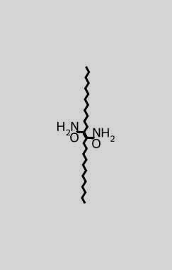 CCCCCCCCCCCCC(C(N)=O)=C(CCCCCCCCCCCC)C(N)=O